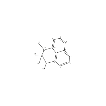 CC1c2cccc3cccc(c23)N(C)C1(C)C